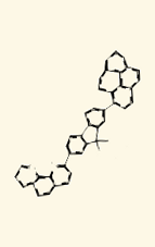 CC1(C)c2cc(-c3ccc4ccc5cccnc5c4n3)ccc2-c2ccc(-c3ccc4ccc5cccc6ccc3c4c56)cc21